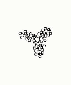 CC(C)C([O])c1c(C(Cl)(Cl)C(Cl)(Cl)C(Cl)(Cl)C(Cl)(Cl)Cl)cc(C(Cl)(Cl)C(Cl)(Cl)C(Cl)(Cl)C(Cl)(Cl)Cl)cc1C(Cl)(Cl)C(Cl)(Cl)C(Cl)(Cl)C(Cl)(Cl)Cl